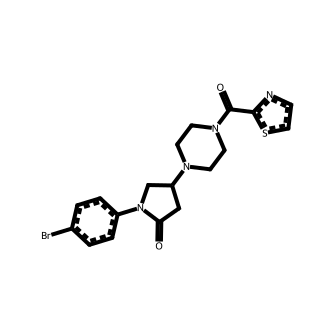 O=C(c1nccs1)N1CCN(C2CC(=O)N(c3ccc(Br)cc3)C2)CC1